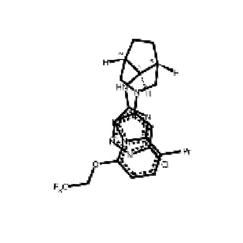 CC(C)c1ccc(OCC(F)(F)F)n2nc(N[C@@H]3[C@@H]4CC[C@H]3CN(c3cnnc(Cl)c3)C4)nc12